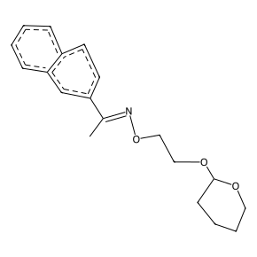 C/C(=N\OCCOC1CCCCO1)c1ccc2ccccc2c1